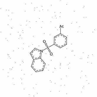 CC(=O)c1cccc(S(=O)(=O)n2ccc3ccccc32)c1